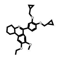 CCOc1cc2c(cc1OC)C(c1ccc(OCC3CC3)c(OCC3CC3)c1)=NC1CCCCC21